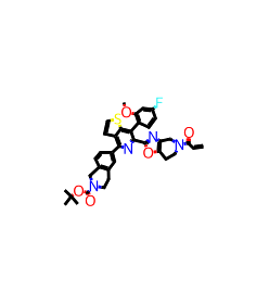 C=CC(=O)N1CCc2oc(-c3nc(-c4ccc5c(c4)CCN(C(=O)OC(C)(C)C)C5)c4ccsc4c3-c3ccc(F)cc3OC)nc2C1